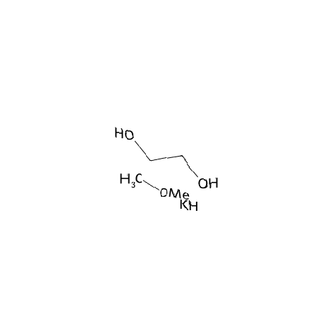 COC.OCCO.[KH]